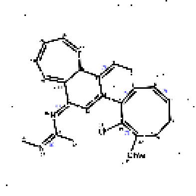 C/C=C1C(C2=C/C=C\CC/C(OC)=C\2Cl)=C/C(=N\C(C)=N/C)C2=CC=CC=CC2\1